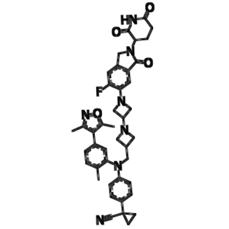 Cc1ccc(-c2c(C)noc2C)cc1N(CC1CN(C2CN(c3cc4c(cc3F)CN(C3CCC(=O)NC3=O)C4=O)C2)C1)c1ccc(C2(C#N)CC2)cc1